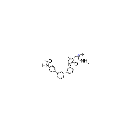 CC(=O)Nc1ccc(-c2cccc(-c3cccc(-n4cnn(C/C(=C/F)CN)c4=O)c3)c2)cc1